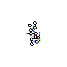 N#Cc1ccc(-c2cc(-c3ccc(C(F)(F)F)cc3C#N)ccc2-n2c3ccccc3c3c2ccc2c4ccccc4n(-c4ccccc4)c23)c(-n2c3ccccc3c3c2ccc2c4ccccc4n(-c4ccccc4)c23)c1